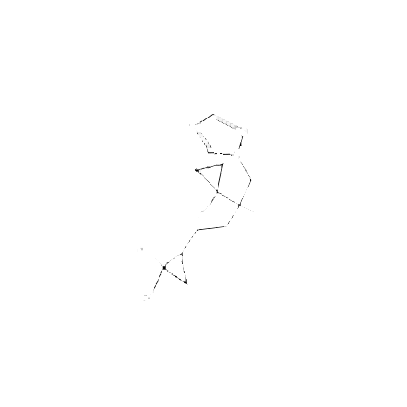 OC(CCC1CC1(Br)Br)(Cn1cncn1)C1(Cl)CC1